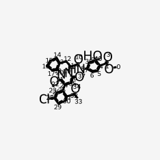 COC(=O)c1ccc(NC(=O)C(Cc2ccccc2)n2nc(OC)c(-c3cc(Cl)ccc3C(C)=O)cc2=O)cc1O